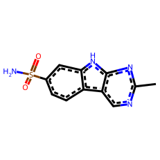 Cc1ncc2c(n1)[nH]c1cc(S(N)(=O)=O)ccc12